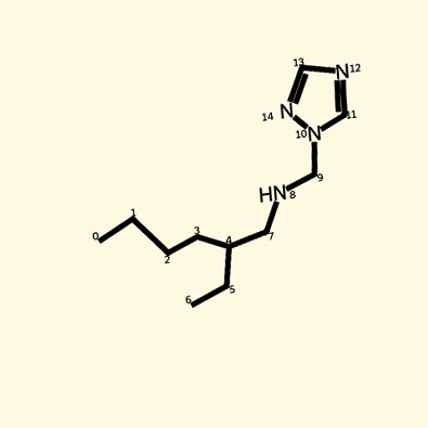 CCCCC(CC)CNCn1cncn1